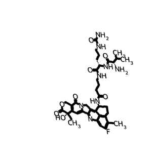 CC[C@@]1(O)C(=O)OCc2c1cc1n(c2=O)Cc2c-1nc1cc(F)c(C)c3c1c2[C@@H](NC(=O)CCCNC(=O)[C@H](CCCNC(N)=O)NC(=O)[C@@H](N)C(C)C)CC3